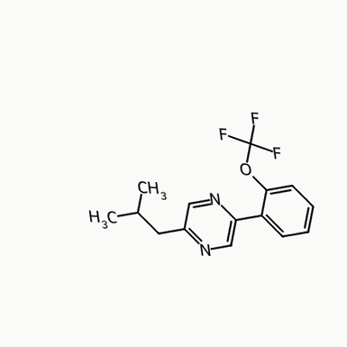 CC(C)Cc1cnc(-c2ccccc2OC(F)(F)F)cn1